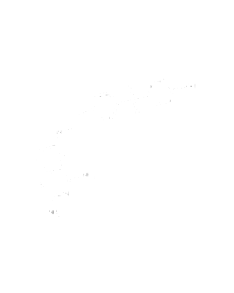 Nc1nc(N)c2cc(NCCc3ccc(S(=O)(=O)c4ccc(O)cc4)cc3)ccc2n1